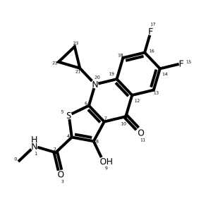 CNC(=O)c1sc2c(c1O)c(=O)c1cc(F)c(F)cc1n2C1CC1